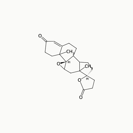 CC12CC3O[C@@]34C(CCC3=CC(=O)CCC34C)C1CC[C@@]21CCC(=O)O1